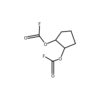 O=C(F)OC1CCCC1OC(=O)F